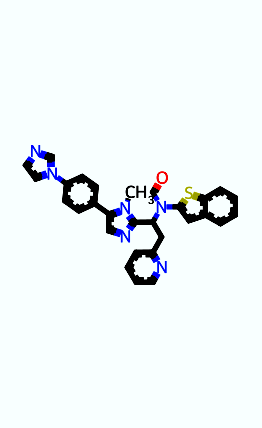 Cn1c(-c2ccc(-n3ccnc3)cc2)cnc1C(Cc1ccccn1)N(C=O)c1cc2ccccc2s1